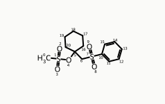 CS(=O)(=O)OC1(CS(=O)(=O)c2ccccc2)CCCCC1